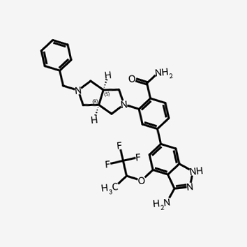 CC(Oc1cc(-c2ccc(C(N)=O)c(N3C[C@H]4CN(Cc5ccccc5)C[C@H]4C3)c2)cc2[nH]nc(N)c12)C(F)(F)F